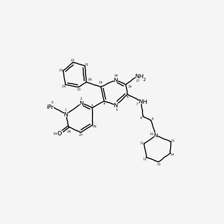 CC(C)n1nc(-c2nc(NCCN3CCCCC3)c(N)nc2-c2ccccc2)ccc1=O